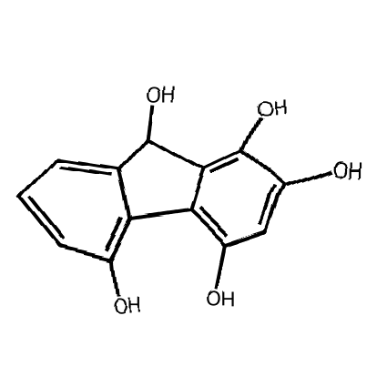 Oc1cc(O)c2c(c1O)C(O)c1cccc(O)c1-2